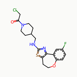 O=C(CCl)N1CCC(CNc2nc3c(s2)CCOc2ccc(F)cc2-3)CC1